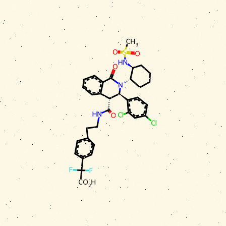 CS(=O)(=O)N[C@H]1CCCC[C@@H]1N1C(=O)c2ccccc2[C@@H](C(=O)NCCc2ccc(C(F)(F)C(=O)O)cc2)[C@@H]1c1ccc(Cl)cc1Cl